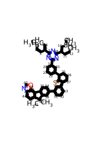 CB/C=C\C(=C/C)c1nc(C(/C=C\C)=C/BC)nc(-c2cccc(-c3cccc4c3sc3c(-c5ccc6c(c5)C(C)(C)c5ccc7ncoc7c5-6)cccc34)c2)n1